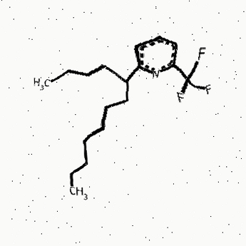 CCCCCCCC(CCCC)c1cccc(C(F)(F)F)n1